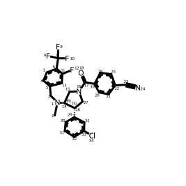 CN(Cc1ccc(C(F)(F)F)c(F)c1)[C@H]1CN(C(=O)c2ccc(C#N)cc2)C[C@@H]1c1cccc(Cl)c1